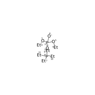 CCOP(=O)([O-])OCC.CC[P+](CC)(CC)CC